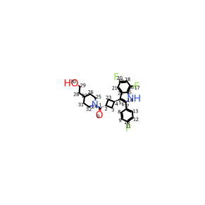 O=C([C@H]1C[C@H](c2c(-c3ccc(F)cc3)[nH]c3c(F)cc(F)cc32)C1)N1CCC(CCO)CC1